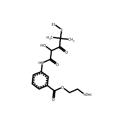 CCCCCCCCCCCCOC(=O)c1cccc(NC(=O)C(O)C(=O)C(C)(C)SCC)c1